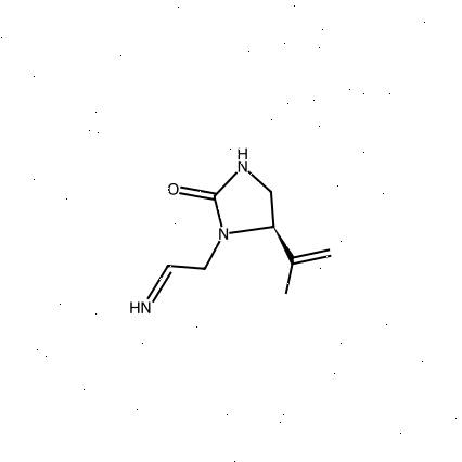 C=C(C)[C@@H]1CNC(=O)N1CC=N